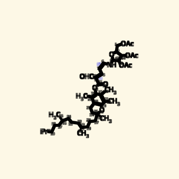 CC(=O)OCC1OC(N/C=C\C=C(/C=O)C(=O)Oc2c(C)c(C)c3c(c2C)CC[C@@](C)(CCC[C@H](C)CCC[C@H](C)CCCC(C)C)O3)C(OC(C)=O)C1OC(C)=O